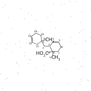 CC1(CC2C=CCCC2(C)C(=O)O)CC=CCC1